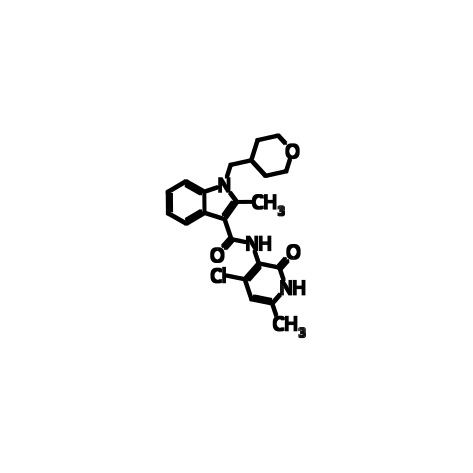 Cc1cc(Cl)c(NC(=O)c2c(C)n(CC3CCOCC3)c3ccccc23)c(=O)[nH]1